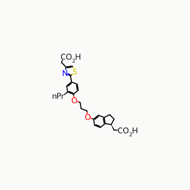 CCCc1cc(-c2nc(CC(=O)O)cs2)ccc1OCCCOc1ccc2c(c1)CC[C@H]2CC(=O)O